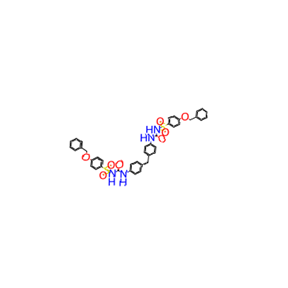 O=C(Nc1ccc(Cc2ccc(NC(=O)NS(=O)(=O)c3ccc(OCc4ccccc4)cc3)cc2)cc1)NS(=O)(=O)c1ccc(OCc2ccccc2)cc1